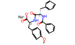 COc1ccc(C[C@H](NC(=O)[C@H](Cc2ccccc2)NC(=O)c2ccccc2)C(=O)[O-])cc1.[Na+]